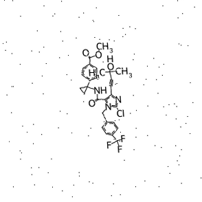 COC(=O)c1ccc(C2(NC(=O)c3c(C#CC(C)(C)O)nc(Cl)n3Cc3ccc(C(F)(F)F)cc3)CC2)cc1